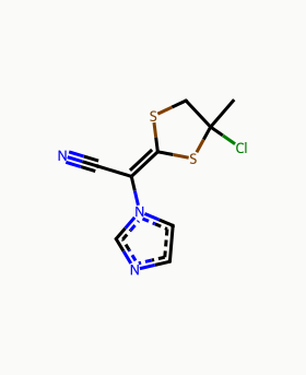 CC1(Cl)CSC(=C(C#N)n2ccnc2)S1